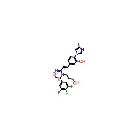 Cc1cn(-c2ccc(/C=C/C3=NOC[C@H](c4cc(F)c(F)c(F)c4)N3CCCO)cc2O)cn1